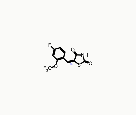 O=C1NC(=O)/C(=C\c2ccc(F)cc2OC(F)(F)F)S1